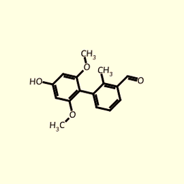 COc1cc(O)cc(OC)c1-c1cccc(C=O)c1C